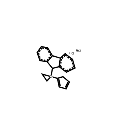 C1=CC[C]([Zr]2([CH]3c4ccccc4-c4ccccc43)[CH2][CH2]2)=C1.Cl.Cl